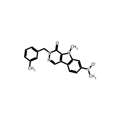 Cc1cccc(Cn2ncc3c4ccc([S+](C)[O-])cc4n(C)c3c2=O)c1